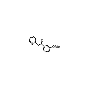 COc1cccc(C(=O)Sc2ccccn2)c1